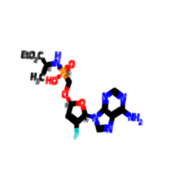 CCOC(=O)[C@H](C)N[P@@](=O)(O)CO[C@@H]1C=C(F)[C@H](n2cnc3c(N)ncnc32)O1